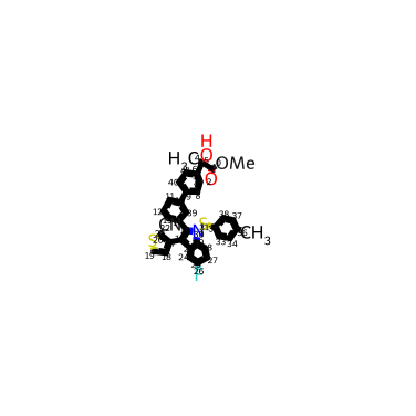 COC(=O)C(C)(O)c1ccc(-c2cccc(-c3c(-c4ccsc4C#N)c4cc(F)ccc4n3Sc3ccc(C)cc3)c2)cc1